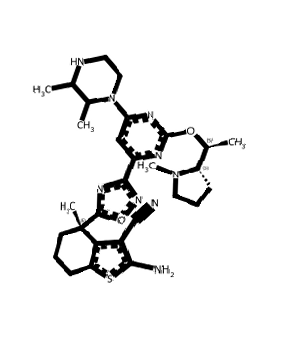 CC1NCCN(c2cc(-c3noc([C@@]4(C)CCCc5sc(N)c(C#N)c54)n3)nc(O[C@@H](C)[C@@H]3CCCN3C)n2)C1C